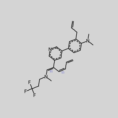 C=C/C=C\C(=C/N(C)CCC(F)(F)F)c1cncc(-c2ccc(N(C)C)c(CC=C)c2)c1